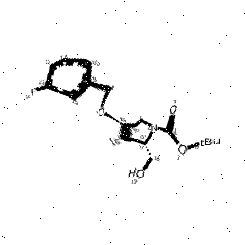 CC(C)(C)OC(=O)N1C[C@H](OCc2cccc(F)c2)C[C@H]1CO